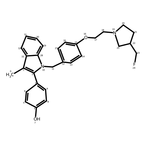 Cc1c(-c2ccc(O)cc2)n(Cc2ccc(OCCN3CCC(CF)C3)cc2)c2ccccc12